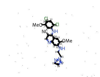 COc1cc(Nc2c(C#N)cnc3cc(NCCn4nccn4)c(OC)cc23)c(Cl)cc1Cl